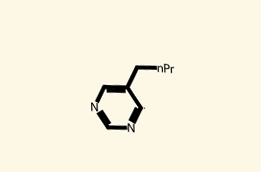 CCCCc1[c]ncnc1